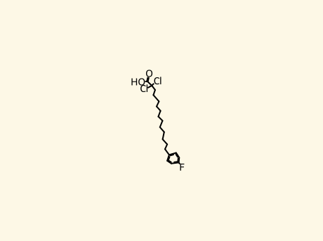 O=C(O)C(Cl)(Cl)CCCCCCCCCCCCc1ccc(F)cc1